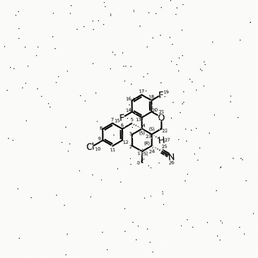 C[C@H]1CC[C@@]2(Cc3ccc(Cl)cc3)c3c(F)ccc(F)c3OC[C@H]2[C@@H]1C#N